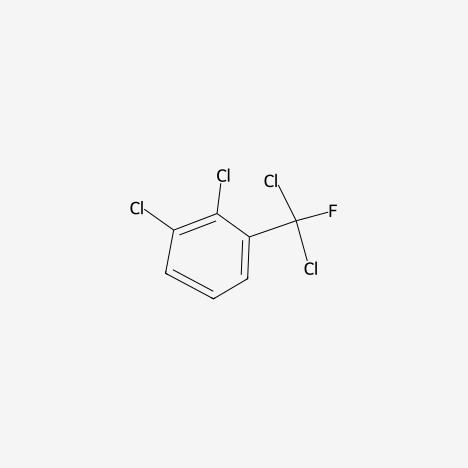 FC(Cl)(Cl)c1cccc(Cl)c1Cl